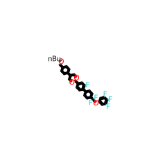 CCCCOCC1CCC(C2COC(c3ccc(C4CCC(C(F)(F)Oc5cc(F)c(F)c(F)c5)CC4)c(F)c3)OC2)CC1